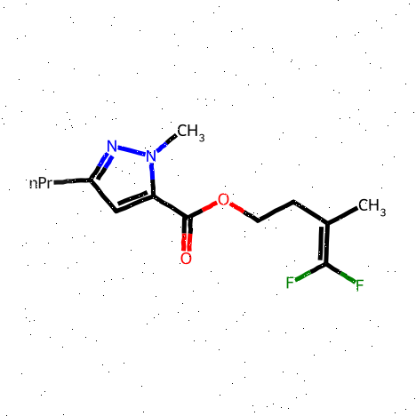 CCCc1cc(C(=O)OCCC(C)=C(F)F)n(C)n1